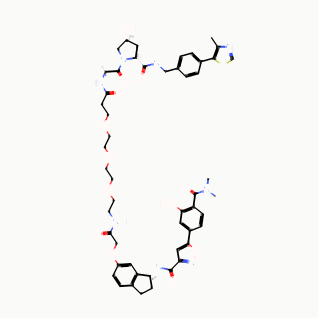 Cc1ncsc1-c1ccc(CNC(=O)[C@@H]2C[C@@H](O)CN2C(=O)[C@@H](NC(=O)CCOCCOCCOCCNC(=O)COc2ccc3c(c2)[C@H](NC(=O)c2cc(-c4ccc(C(=O)N(C)C)c(O)c4)on2)CC3)C(C)(C)C)cc1